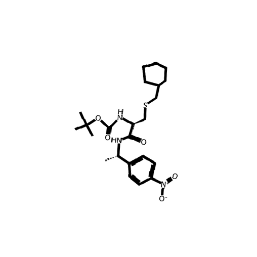 C[C@H](NC(=O)[C@H](CSCC1CCCCC1)NC(=O)OC(C)(C)C)c1ccc([N+](=O)[O-])cc1